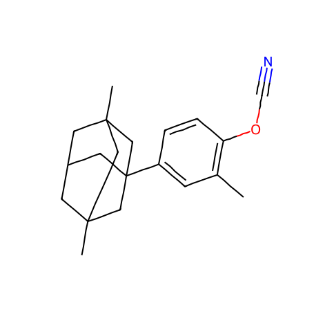 Cc1cc(C23CC4CC(C)(CC(C)(C4)C2)C3)ccc1OC#N